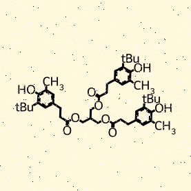 Cc1cc(CCC(=O)OCC(COC(=O)CCc2cc(C)c(O)c(C(C)(C)C)c2)COC(=O)CCc2cc(C)c(O)c(C(C)(C)C)c2)cc(C(C)(C)C)c1O